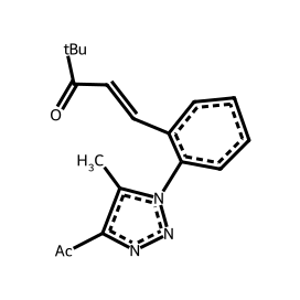 CC(=O)c1nnn(-c2ccccc2/C=C/C(=O)C(C)(C)C)c1C